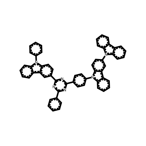 c1ccc(-c2nc(-c3ccc(-n4c5ccccc5c5cc(-n6c7ccccc7c7ccccc76)ccc54)cc3)nc(-c3ccc4c(c3)c3ccccc3n4-c3ccccc3)n2)cc1